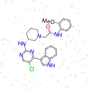 COc1cc[c]cc1NC(=O)CN1CCC[C@@H](Nc2ncc(Cl)c(-c3c[nH]c4ccccc34)n2)C1